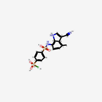 Cc1ccc(NS(=O)(=O)c2ccc(S(=O)(=O)F)cc2)c2[nH]cc(C#N)c12